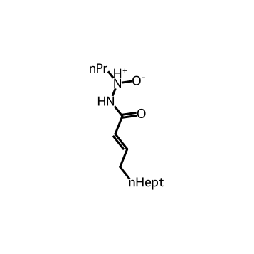 CCCCCCCCC=CC(=O)N[NH+]([O-])CCC